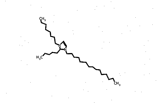 CCCCCCCCCCCCCCCN1C=CN(CCCCCCCC)C1CCCCC